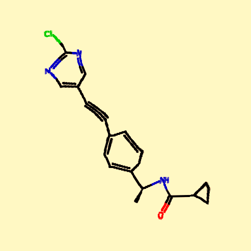 C[C@H](NC(=O)C1CC1)c1ccc(C#Cc2cnc(Cl)nc2)cc1